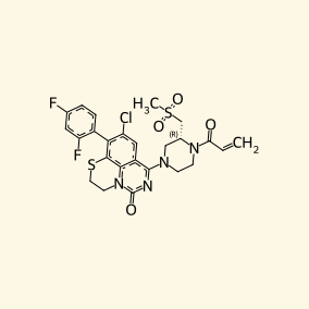 C=CC(=O)N1CCN(c2nc(=O)n3c4c(c(-c5ccc(F)cc5F)c(Cl)cc24)SCC3)C[C@@H]1CS(C)(=O)=O